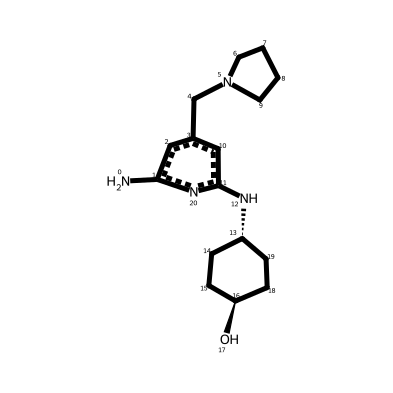 Nc1cc(CN2CCCC2)cc(N[C@H]2CC[C@H](O)CC2)n1